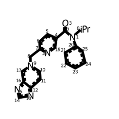 CC(C)N(C(=O)c1ccc(Cn2ccc3ncnc-3c2)nc1)c1ccccc1